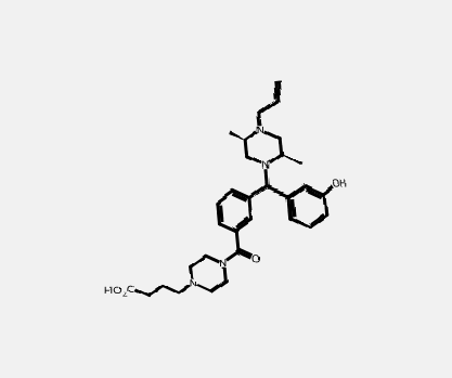 C=CCN1C[C@@H](C)N(C(c2cccc(O)c2)c2cccc(C(=O)N3CCN(CCCC(=O)O)CC3)c2)C[C@H]1C